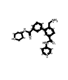 NCc1ccc(C(=O)Nc2ccncc2)cc1-c1cccc(C(=O)OC2CCOCC2)c1